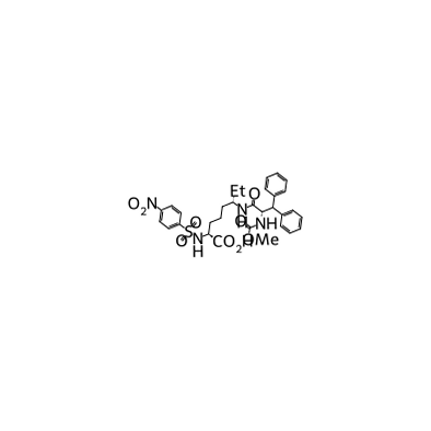 CC[C@@H](CCC[C@H](NS(=O)(=O)c1ccc([N+](=O)[O-])cc1)C(=O)O)NC(=O)[C@@H](NC(=O)OC)C(c1ccccc1)c1ccccc1